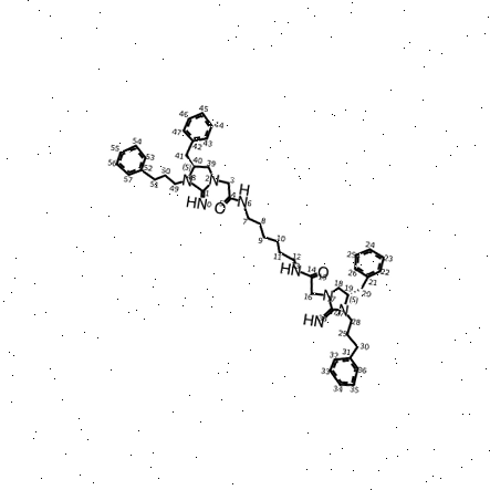 N=C1N(CC(=O)NCCCCCCNC(=O)CN2C[C@H](Cc3ccccc3)N(CCCc3ccccc3)C2=N)C[C@H](Cc2ccccc2)N1CCCc1ccccc1